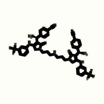 N#Cc1ccc([C@@H](N)C2=C(Nc3cccc(C(F)(F)F)c3)CN(CCCNCCCN3CC(Nc4cccc(C(F)(F)F)c4)=C([C@H](N)c4ccc(C#N)nc4)C3=O)C2=O)cn1